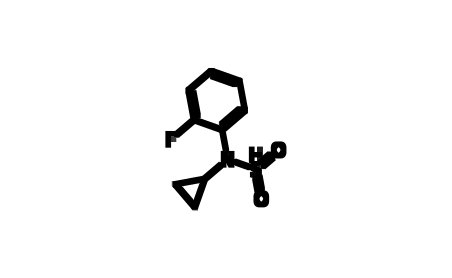 O=[SH](=O)N(c1ccccc1F)C1CC1